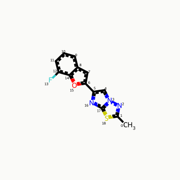 Cc1nn2cc(-c3cc4cccc(F)c4o3)nc2s1